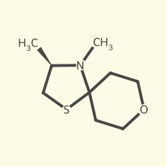 C[C@@H]1CSC2(CCOCC2)N1C